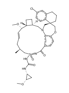 CO[C@H]1/C=C/C[C@H](C)CS(=O)(NC(=O)N[C@@H]2C[C@@H]2OC)=NC(=O)c2ccc3c(c2)N(C[C@@H]2CC[C@H]21)C[C@@]1(CCCc2cc(Cl)ccc21)CO3